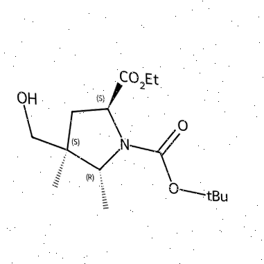 CCOC(=O)[C@@H]1C[C@](C)(CO)[C@@H](C)N1C(=O)OC(C)(C)C